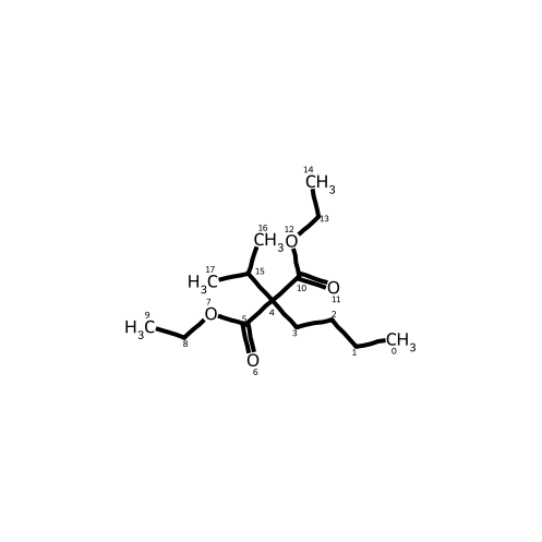 CCCCC(C(=O)OCC)(C(=O)OCC)C(C)C